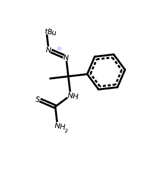 CC(C)(C)/N=N/C(C)(NC(N)=S)c1ccccc1